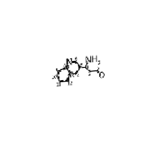 NC(CC=O)c1cnc2ccccc2c1